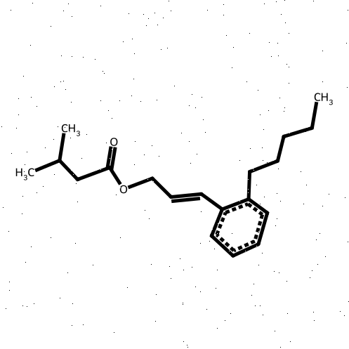 CCCCCc1ccccc1/C=C/COC(=O)CC(C)C